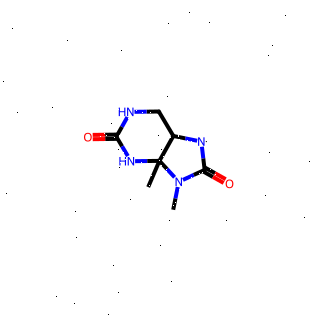 CN1C(=O)[N]C2CNC(=O)NC21C